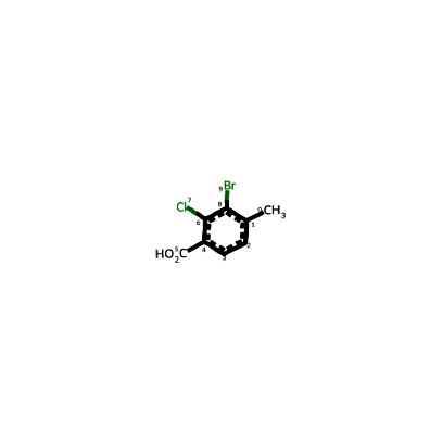 Cc1ccc(C(=O)O)c(Cl)c1Br